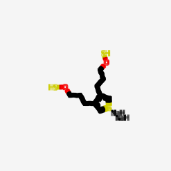 SOCCCc1cscc1CCCOS.[NaH].[NaH]